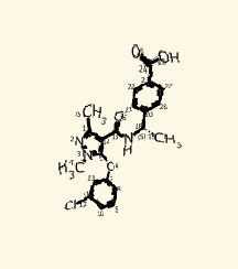 Cc1nn(C)c(Oc2cccc(Cl)c2)c1C(=O)N[C@@H](C)c1ccc(C(=O)O)cc1